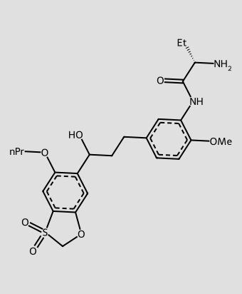 CCCOc1cc2c(cc1C(O)CCc1ccc(OC)c(NC(=O)[C@@H](N)CC)c1)OCS2(=O)=O